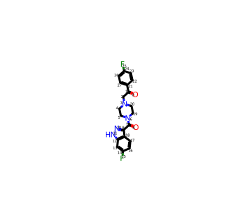 O=C(CN1CCN(C(=O)c2n[nH]c3cc(F)ccc23)CC1)c1ccc(F)cc1